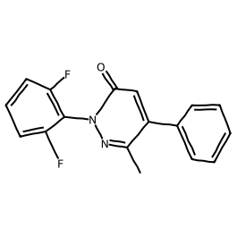 Cc1nn(-c2c(F)cccc2F)c(=O)cc1-c1ccccc1